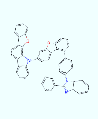 C1=CC2N=C(c3ccccc3)N(c3ccc(-c4cccc5oc6cc(-n7c8ccccc8c8ccc9c%10ccccc%10oc9c87)ccc6c45)cc3)C2C=C1